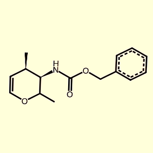 CC1OC=C[C@@H](C)[C@H]1NC(=O)OCc1ccccc1